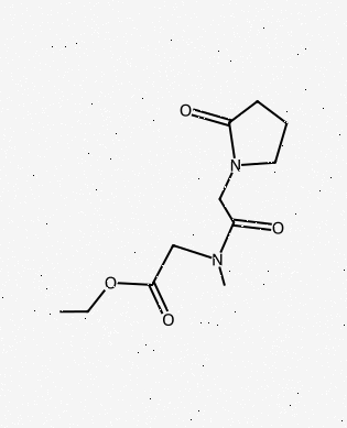 CCOC(=O)CN(C)C(=O)CN1CCCC1=O